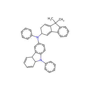 CC1(C)C2=CCC(N(c3ccccc3)c3ccc4c(c3)C3C=CC=CC3N4c3ccccc3)C=C2c2ccccc21